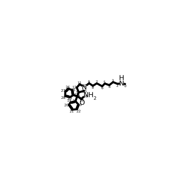 CNCCCCCCCCN1CCC(C(C(N)=O)(c2ccccc2)c2ccccc2)C1